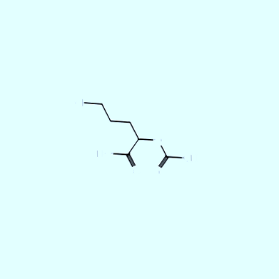 CC(=O)OC(CCCCl)C(=O)O